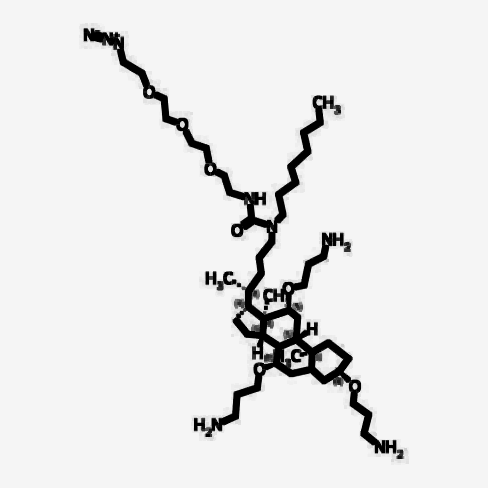 CCCCCCCCN(CCC[C@@H](C)[C@H]1CC[C@H]2C3[C@H](OCCCN)CC4C[C@H](OCCCN)CC[C@]4(C)[C@H]3C[C@H](OCCCN)[C@]12C)C(=O)NCCOCCOCCOCCN=[N+]=[N-]